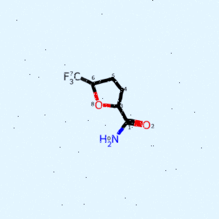 NC(=O)C1CCC(C(F)(F)F)O1